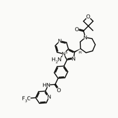 CC1(C(=O)N2CCCC[C@@H](C3=C4C=NC=C[N+]4(N)C(c4ccc(C(=O)Nc5cc(C(F)(F)F)ccn5)cc4)=N3)C2)COC1